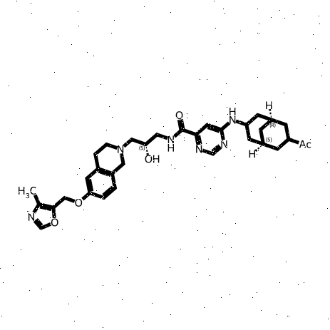 CC(=O)C1C[C@H]2CC(Nc3cc(C(=O)NC[C@H](O)CN4CCc5cc(OCc6ocnc6C)ccc5C4)ncn3)C[C@@H](C1)C2